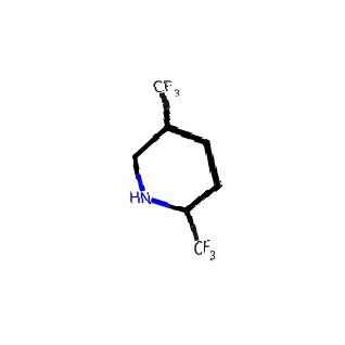 FC(F)(F)C1CCC(C(F)(F)F)NC1